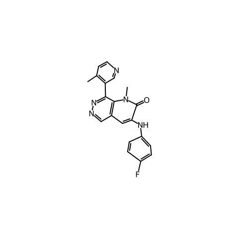 Cc1ccncc1-c1nncc2cc(Nc3ccc(F)cc3)c(=O)n(C)c12